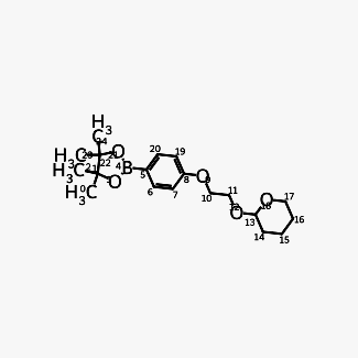 CC1(C)OB(c2ccc(OCCOC3CCCCO3)cc2)OC1(C)C